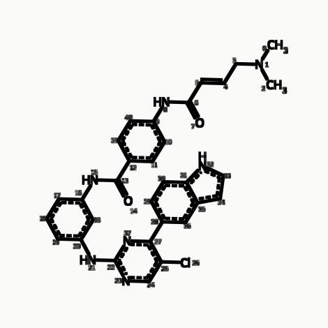 CN(C)C/C=C/C(=O)Nc1ccc(C(=O)Nc2cccc(Nc3ncc(Cl)c(-c4ccc5[nH]ccc5c4)n3)c2)cc1